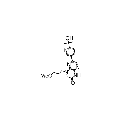 COCCCN1CC(=O)Nc2ncc(-c3ccc(C(C)(C)O)nc3)nc21